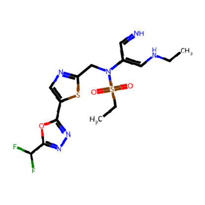 CCN/C=C(\C=N)N(Cc1ncc(-c2nnc(C(F)F)o2)s1)S(=O)(=O)CC